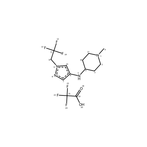 CN1CCC(Nc2cnn(CC(F)(F)F)c2)CC1.O=C(O)C(F)(F)F